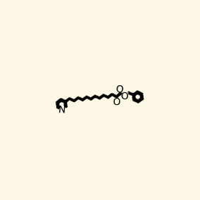 O=C(CCCCCCCCCCCc1cccnc1)C(=O)OCc1ccccc1